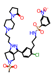 CS(=O)(=O)N1CCc2c(c(-c3ccc(Cl)c(CCCNS(=O)(=O)c4cccc([N+](=O)[O-])c4)c3)nn2CCCN2CCC(N3CCCC3=O)CC2)C1